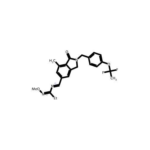 CCC(=N/OC)/N=C/c1cc(C)c2c(c1)CN(Cc1ccc(OC(C)(F)F)cc1)C2=O